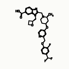 C[C@H]1C[C@@H](Oc2ccnc(COc3ccc(C(F)F)cc3F)c2)CCN1Cc1nc2ccc(C(=O)O)cc2n1C[C@@H]1CCO1